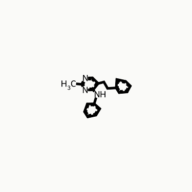 Cc1ncc(CCc2ccccc2)c(Nc2ccccc2)n1